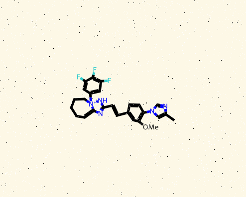 COc1cc(/C=C/C2=NC3=CCCCC[N+]3(c3cc(F)c(F)c(F)c3)N2)ccc1-n1cnc(C)c1